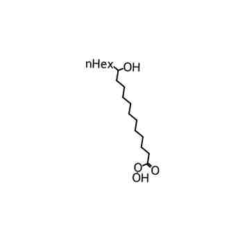 CCCCCCC(O)CCCCCCCCCCC(=O)OO